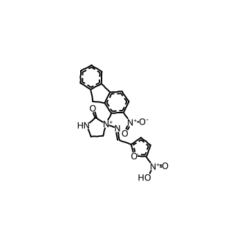 O=C1NCC[N+]1(N=Cc1ccc([N+](=O)O)o1)c1c([N+](=O)[O-])ccc2c1Cc1ccccc1-2